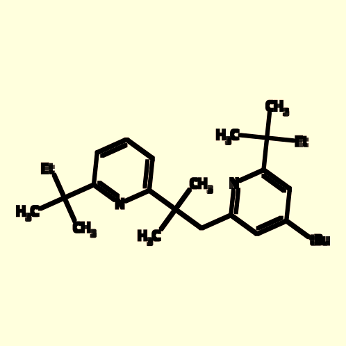 CCC(C)(C)c1cc(C(C)(C)C)cc(CC(C)(C)c2cccc(C(C)(C)CC)n2)n1